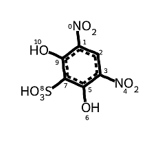 O=[N+]([O-])c1cc([N+](=O)[O-])c(O)c(S(=O)(=O)O)c1O